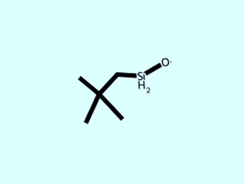 CC(C)(C)C[SiH2][O]